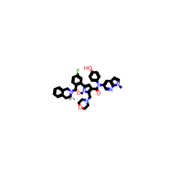 C[C@@H]1Cc2ccccc2CN1C(=O)c1ccc(F)cc1-c1cc(C(=O)N(c2ccc(O)cc2)c2cnc3c(ccn3C)c2)c(CN2CCOCC2)n1C